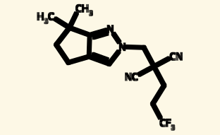 CC1(C)CCc2cn(CC(C#N)(C#N)CCC(F)(F)F)nc21